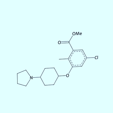 COC(=O)c1cc(Cl)cc(OC2CCC(N3CCCC3)CC2)c1C